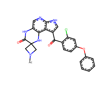 CC(=O)N1CC2(C1)Nc1c(cnc3[nH]cc(C(=O)c4ccc(Oc5ccccc5)cc4Cl)c13)NC2=O